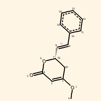 COC1=CC(=O)O[C@H](/C=C/c2ccccc2)C1